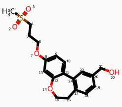 CS(=O)(=O)CCCOc1ccc2c(c1)OCCc1ccc(CO)cc1-2